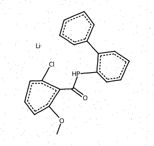 COc1cccc(Cl)c1C(=O)Pc1ccccc1-c1ccccc1.[Li]